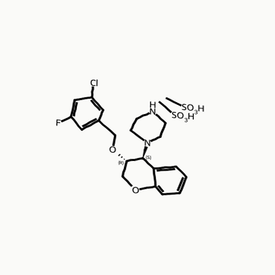 CS(=O)(=O)O.CS(=O)(=O)O.Fc1cc(Cl)cc(CO[C@H]2COc3ccccc3[C@@H]2N2CCNCC2)c1